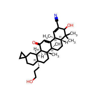 CC1(C)C(O)C(C#N)=C[C@]2(C)C3=CC(=O)[C@@H]4[C@@H]5CC6(CC6)CC[C@]5(CCCO)CC[C@@]4(C)[C@]3(C)CC[C@@H]12